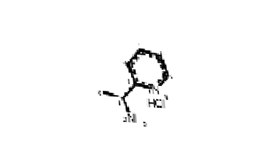 C[C@H](N)c1ccccn1.Cl